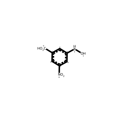 O=C(O)c1cc(BO)cc([N+](=O)[O-])c1